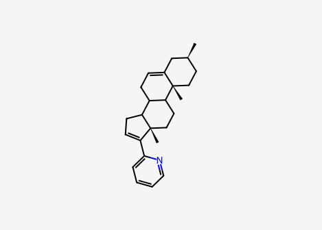 C[C@H]1CC[C@@]2(C)C(=CCC3C2CC[C@]2(C)C(c4ccccn4)=CCC32)C1